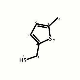 Cc1ccc(CS)s1